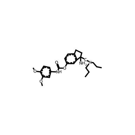 CCCN(CCC)CC1(N)CCc2ccc(OC(=O)Nc3ccc(OC)c(OC)c3)cc21